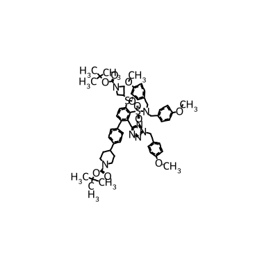 COc1ccc(CN(Cc2ccc(OC)cc2)S(=O)(=O)c2c([S+]([O-])C3CN(C(=O)OC(C)(C)C)C3)ccc(-c3ccc(C4CCN(C(=O)OC(C)(C)C)CC4)cc3)c2-c2nnn(Cc3ccc(OC)cc3)n2)cc1